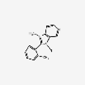 Cc1ccccc1-c1n(I)c2cnccc2[n+]1C